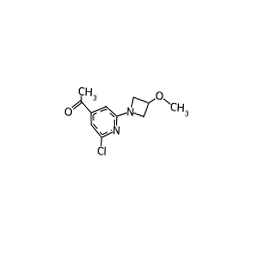 COC1CN(c2cc(C(C)=O)cc(Cl)n2)C1